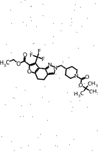 CCOC(=O)c1oc2c(c1C(F)(F)F)-c1nn(CC3CCN(C(=O)OC(C)(C)C)CC3)cc1CC2